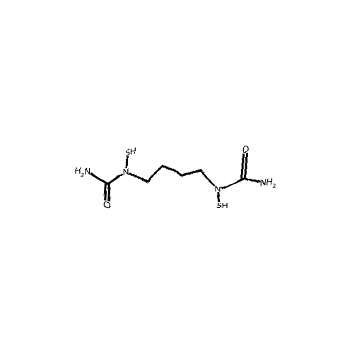 NC(=O)N(S)CCCCN(S)C(N)=O